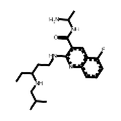 CCC(CCNc1nc2cccc(F)c2cc1C(=O)NC(C)N)NCC(C)C